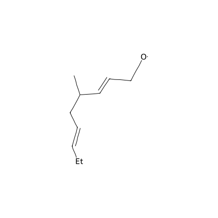 CC/C=C/CC(C)/C=C/C[O]